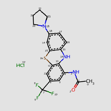 CC(=O)Nc1cc(C(F)(F)F)cc2c1Nc1ccc(N3CCCC3)cc1S2.Cl